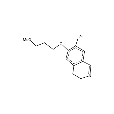 CCCc1cc2c(cc1OCCCOC)CCN=C2